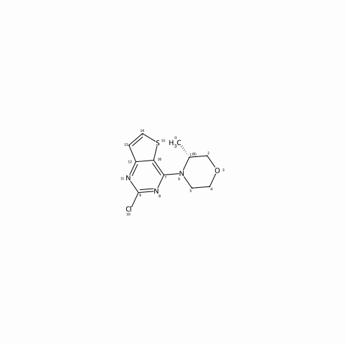 C[C@@H]1COCCN1c1nc(Cl)nc2c[c]sc12